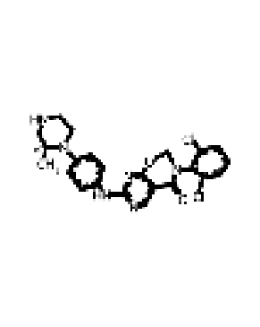 C[C@H]1CNCCN1c1ccc(Nc2ncc3c(n2)OCN(c2c(Cl)cccc2Cl)C3=O)cc1